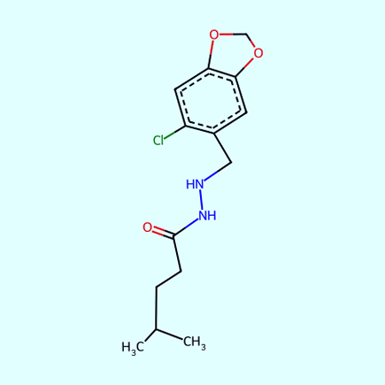 CC(C)CCC(=O)NNCc1cc2c(cc1Cl)OCO2